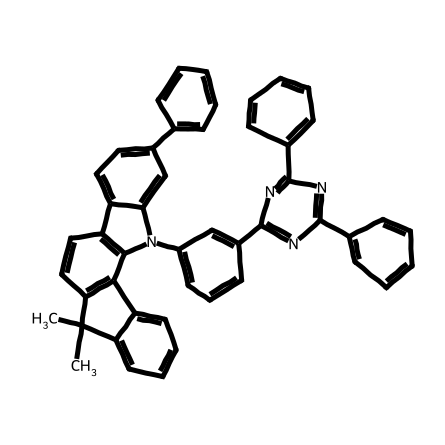 CC1(C)c2ccccc2-c2c1ccc1c3ccc(-c4ccccc4)cc3n(-c3cccc(-c4nc(-c5ccccc5)nc(-c5ccccc5)n4)c3)c21